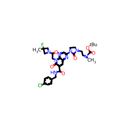 CN(CCN1CCN(c2cnc3c(cc(C(=O)NCc4ccc(Cl)cc4)c(=O)n3CC(=O)N3CC(C)(F)C3)n2)C1=O)C(=O)OC(C)(C)C